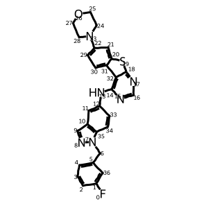 Fc1cccc(Cn2ncc3cc(Nc4ncnc5sc6cc(N7CCOCC7)ccc6c45)ccc32)c1